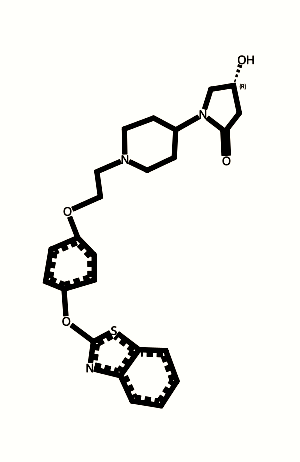 O=C1C[C@@H](O)CN1C1CCN(CCOc2ccc(Oc3nc4ccccc4s3)cc2)CC1